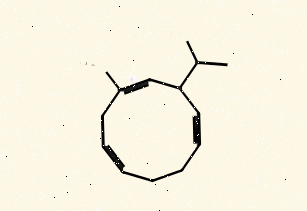 CO/C1=C/C(C(C)O)C=CCCC=CC1